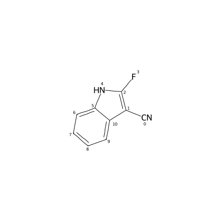 N#Cc1c(F)[nH]c2ccccc12